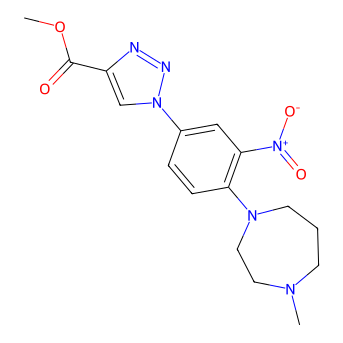 COC(=O)c1cn(-c2ccc(N3CCCN(C)CC3)c([N+](=O)[O-])c2)nn1